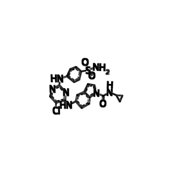 NS(=O)(=O)c1ccc(Nc2ncc(Cl)c(Nc3ccc4c(ccn4C(=O)NC4CC4)c3)n2)cc1